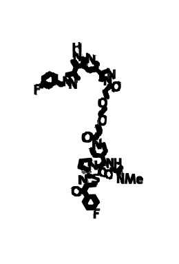 CN[C@@H](C)C(=O)N[C@H](C(=O)N1CCC[C@H]1C1=NC(C(=O)c2ccc(F)cc2)CS1)C1CCN(C(=O)CCOCCOCCC(=O)n2cc(-c3cnc4[nH]cc(-c5cnn(Cc6cccc(F)c6)c5)c4c3)cn2)CC1